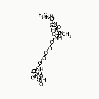 Cn1cc(NC(=O)c2coc(-c3ccnc(NCC(F)(F)F)c3)n2)c(C(=O)NCCOCCOCCOCCOCCOCCNc2cccc3c2C(=O)N(C2CCC(=O)NC2=O)C3=O)n1